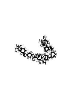 Cl.N#Cc1ccc(OC2CCC(NC(=O)c3ccc(N4CCC(CN5CCC[C@H](n6ccc7c(N8CCC(=O)NC8=O)cccc76)C5)CC4)nn3)CC2)cc1Cl